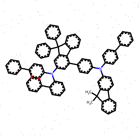 CC1(C)c2ccccc2-c2ccc(N(c3ccc(-c4ccccc4)cc3)c3ccc(-c4cc(N(c5ccc(-c6ccccc6)cc5)c5ccccc5-c5ccccc5)cc5c4-c4ccccc4C5(c4ccccc4)c4ccccc4)cc3)cc21